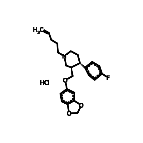 C=CCCCN1CC[C@H](c2ccc(F)cc2)[C@@H](COc2ccc3c(c2)OCO3)C1.Cl